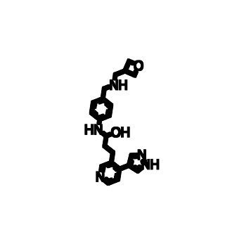 OC(CCc1cnccc1-c1cn[nH]c1)Nc1ccc(CNCC2COC2)cc1